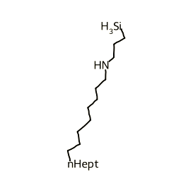 CCCCCCCCCCCCCCCNCCC[SiH3]